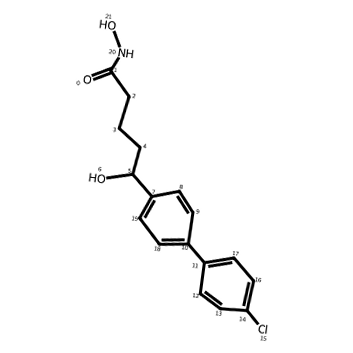 O=C(CCCC(O)c1ccc(-c2ccc(Cl)cc2)cc1)NO